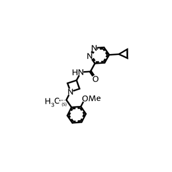 COc1ccccc1[C@H](C)N1CC(NC(=O)c2cc(C3CC3)cnn2)C1